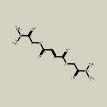 CN(C)C(=O)COC(=O)/C=C/C(=O)OCC(=O)N(C)C